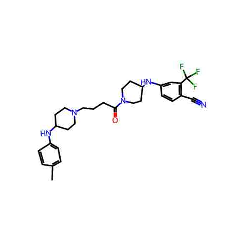 Cc1ccc(NC2CCN(CCCC(=O)N3CCC(Nc4ccc(C#N)c(C(F)(F)F)c4)CC3)CC2)cc1